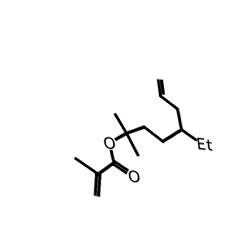 C=CCC(CC)CCC(C)(C)OC(=O)C(=C)C